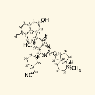 C#Cc1c(F)ccc2cc(O)cc(-c3ncc4c(N5CCCC(CC#N)C5)nc(OC[C@]56CCC[C@H]5N(C)CCC6)nc4c3F)c12